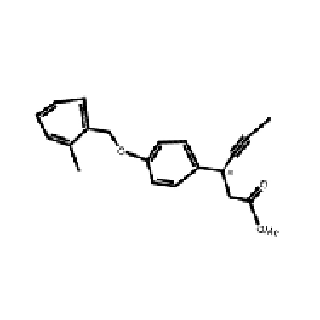 CC#C[C@@H](CC(=O)OC)c1ccc(OCc2ccccc2C)cc1